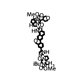 CC[C@H](C)C(NC(=O)OC)C(=O)N1[C@@H](C)CC[C@H]1c1ncc(-c2ccc3c(c2)COc2cc4c(ccc5nc([C@@H]6C[C@@H]7CCC[C@@H]7N6C(=O)[C@@H](NC(=O)OC)C6CCOCC6)[nH]c54)cc2-3)[nH]1